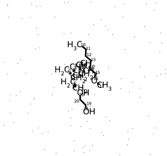 C=C.C=C.C=C.C=C.C=C.CCCCCCOC.OCCO